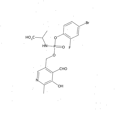 Cc1ncc(COP(=O)(NC(C)C(=O)O)Oc2ccc(Br)cc2F)c(C=O)c1O